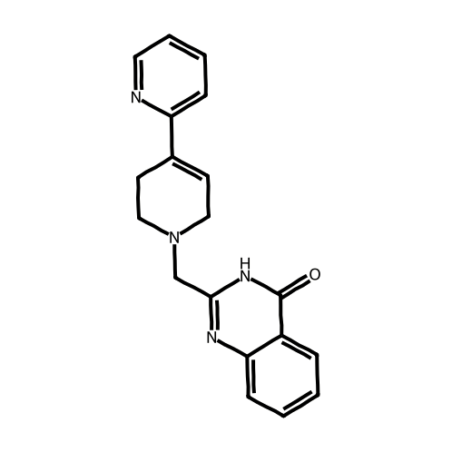 O=c1[nH]c(CN2CC=C(c3ccccn3)CC2)nc2ccccc12